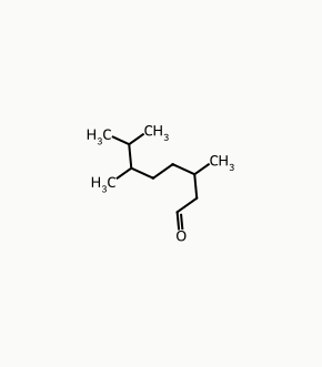 CC(CC=O)CCC(C)C(C)C